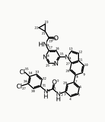 O=C(Nc1cccc(-c2ccc3ccn(-c4cc(NC(=O)C5CC5)ncn4)c3c2)c1)Nc1ccc(Cl)c(Cl)c1